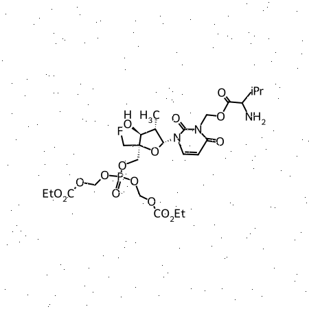 CCOC(=O)OCOP(=O)(OCOC(=O)OCC)OC[C@@]1(CF)O[C@@H](n2ccc(=O)n(COC(=O)C(N)C(C)C)c2=O)[C@@H](C)[C@@H]1O